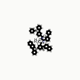 CC(/C(=N\C(C)c1cc(-n2c3ccccc3c3cc4ccccc4cc32)cc2sc3c4ccccc4ccc3c12)c1cccc(-c2ccccc2)c1)=C(/C)c1ccc2c(c1)c1ccccc1n2-c1ccccc1